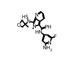 Cn1c(C(=P)Nc2cc(N)nc(F)c2)c2cccnc2c1N(S)C1(C)COC1